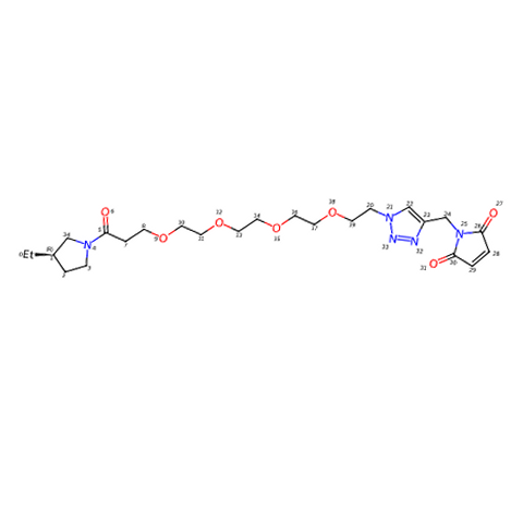 CC[C@@H]1CCN(C(=O)CCOCCOCCOCCOCCn2cc(CN3C(=O)C=CC3=O)nn2)C1